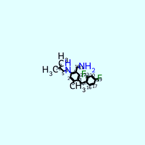 Cc1cc(NCC(C)C)c(CN)cc1Cc1ccc(F)cc1F